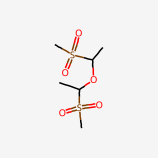 CC(OC(C)S(C)(=O)=O)S(C)(=O)=O